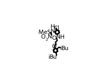 CCC(C)Cc1ccc(OCCCC(=O)Nc2ccc(Cl)c(NC(=C[N+](=O)[O-])SC)c2)c(CC(C)CC)c1